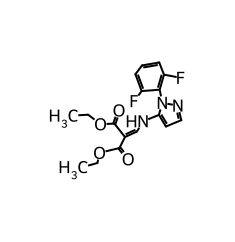 CCOC(=O)C(=CNc1ccnn1-c1c(F)cccc1F)C(=O)OCC